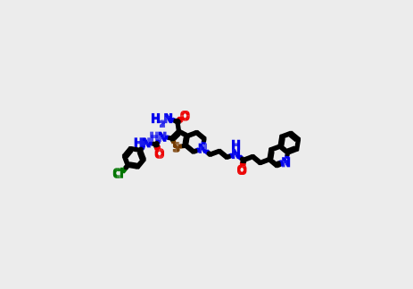 NC(=O)c1c(NC(=O)Nc2ccc(Cl)cc2)sc2c1CCN(CCCNC(=O)CCc1cnc3ccccc3c1)C2